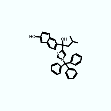 CC(C)CC(O)(c1ccc2cc(O)ccc2c1)c1cn(C(c2ccccc2)(c2ccccc2)c2ccccc2)cn1